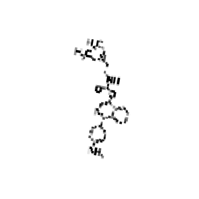 CCN(CC)CCNC(=O)Oc1cnc(-c2ccc(N)cc2)c2ccccc12